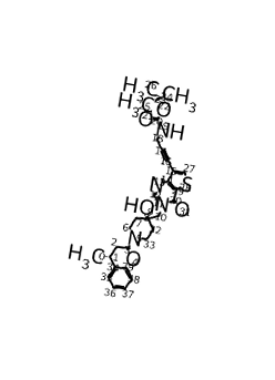 C[C@H](CC(=O)N1CCC(O)(Cn2cnc3c(C#CCNC(=O)OC(C)(C)C)csc3c2=O)CC1)c1ccccc1